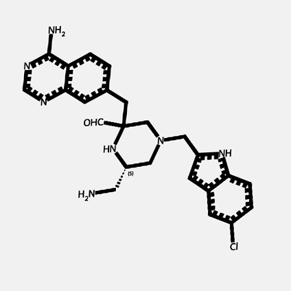 NC[C@H]1CN(Cc2cc3cc(Cl)ccc3[nH]2)CC(C=O)(Cc2ccc3c(N)ncnc3c2)N1